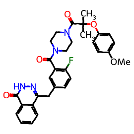 COc1ccc(OC(C)(C)C(=O)N2CCN(C(=O)c3cc(Cc4n[nH]c(=O)c5ccccc45)ccc3F)CC2)cc1